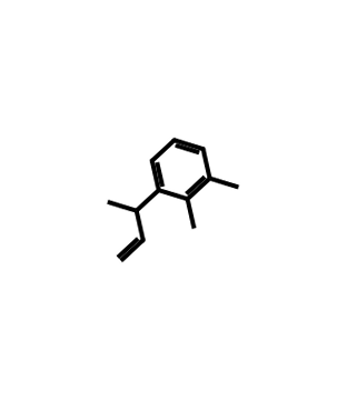 C=CC(C)c1cccc(C)c1C